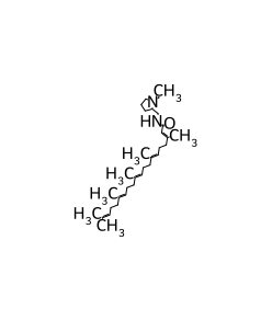 CCN1CCCC1CNC(=O)/C=C(\C)CC/C=C(\C)CC/C=C(\C)CC/C=C(\C)CCC=C(C)C